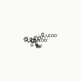 O=C([O-])CCCC(=O)OCC1=C(C(=O)[O-])N2C(=O)[C@@H](NC(=O)Cc3cccs3)[C@@H]2SC1.[Na+].[Na+]